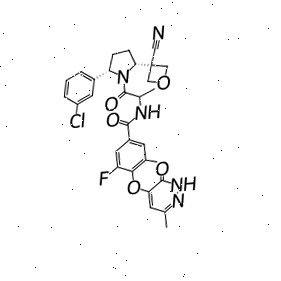 Cc1cc(Oc2c(C)cc(C(=O)NC(C)C(=O)N3[C@H](c4cccc(Cl)c4)CC[C@@H]3C3(C#N)COC3)cc2F)c(=O)[nH]n1